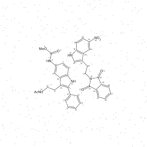 COC(=O)Nc1ccc2[nH]c(-c3ccccc3)c(CCNC(C)=O)c2c1.O=C1c2ccccc2C(=O)N1CCc1c[nH]c2ccc([N+](=O)[O-])cc12